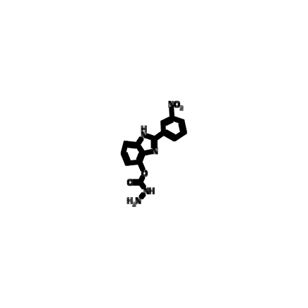 NNC(=O)Oc1cccc2[nH]c(-c3cccc([N+](=O)[O-])c3)nc12